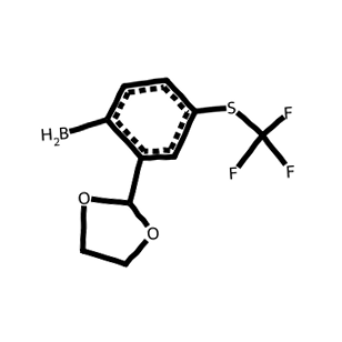 Bc1ccc(SC(F)(F)F)cc1C1OCCO1